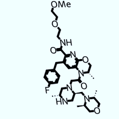 COCCOCCNC(=O)c1nc2c(cc1Cc1ccc(F)cc1)N(C(=O)CN1C[C@@H](C)NC[C@@H]1CN1[C@H](C)COC[C@H]1C)[C@@H](C)CO2